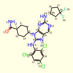 NC(=O)C1CCC(n2c(Nc3c(Cl)cc(Cl)cc3Cl)nc3cnc(N[C@@H]4CCC(F)(F)C4)nc32)CC1